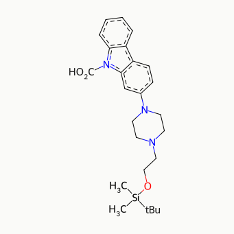 CC(C)(C)[Si](C)(C)OCCN1CCN(c2ccc3c4ccccc4n(C(=O)O)c3c2)CC1